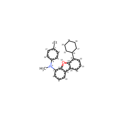 CCc1ccc(N(C)c2cccc3c2oc2c(C4CCCCC4)cccc23)cc1